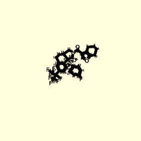 O=C(c1coc2c1CCCC2)N1CC2CCc3cc(C(F)(C(F)(F)F)C(F)(F)F)ccc3C2(S(=O)(=O)c2ccc(F)cc2)C1